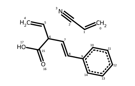 C=CC#N.C=CC(C=Cc1ccccc1)C(=O)O